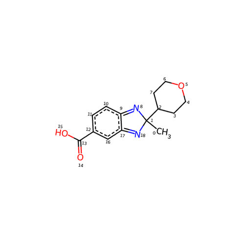 CC1(C2CCOCC2)N=c2ccc(C(=O)O)cc2=N1